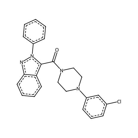 O=C(c1c2ccccc2nn1-c1ccccc1)N1CCN(c2cccc(Cl)c2)CC1